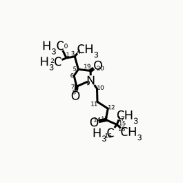 CC(C)C(C)C1CC(=O)N(CCCC(=O)C(C)(C)C)C1=O